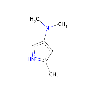 Cc1cc(N(C)C)c[nH]1